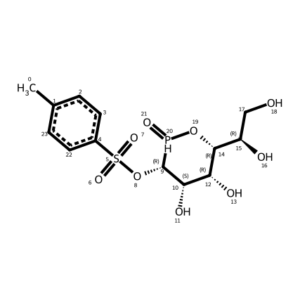 Cc1ccc(S(=O)(=O)O[C@H]2[C@@H](O)[C@@H](O)[C@@H]([C@H](O)CO)O[PH]2=O)cc1